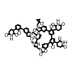 COC1(CN2C(=O)Cc3cc(-c4cc(-c5cc(-c6ccc7c(c6)oc(=O)n7Cc6cn(C)c(-c7ccnc(CN8C(=O)Cc9cc(-c%10cccc(C%11CCC(=O)NC%11=O)c%10Cl)ccc98)n7)n6)c(Cl)c(C6CCC(=O)NC6=O)c5)cc(C5CCC(=O)NC5=O)c4Cl)ccc32)CC1